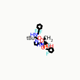 C=C[C@@H]1C[C@]1(NC(=O)[C@@H]1CCCN1C(=O)[C@@H](NCC(F)(F)c1ccccc1)C(C)(C)C)P(=O)(O)Cc1c(F)cccc1F